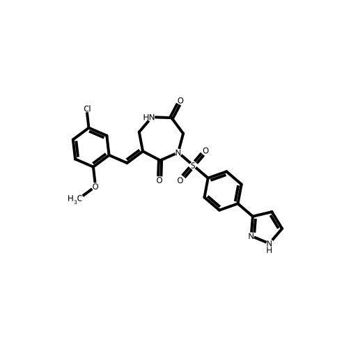 COc1ccc(Cl)cc1C=C1CNC(=O)CN(S(=O)(=O)c2ccc(-c3cc[nH]n3)cc2)C1=O